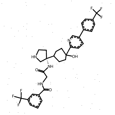 O=C(CNC(=O)c1cccc(C(F)(F)F)c1)N[C@@]1(C2CCC(O)(c3ccc(-c4ccc(C(F)(F)F)cc4)cn3)CC2)CCNC1